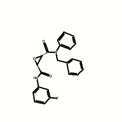 O=C(Nc1cccc(F)c1)[C@H]1O[C@@H]1C(=O)N(Cc1ccccc1)c1ccccc1